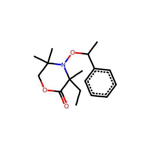 CCC1(C)C(=O)OCC(C)(C)N1OC(C)c1ccccc1